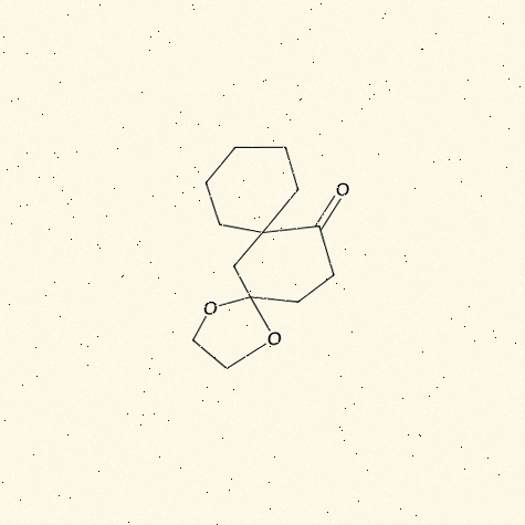 O=C1CCC2(CC13CCCCC3)OCCO2